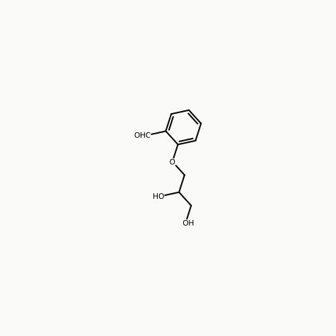 O=Cc1ccccc1OCC(O)CO